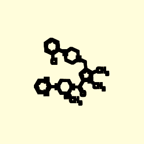 Cc1c(CN2CCN(c3ccccc3Cl)CC2)cc(C(=O)N2CCN(c3ncccn3)C[C@@H]2C)n1C